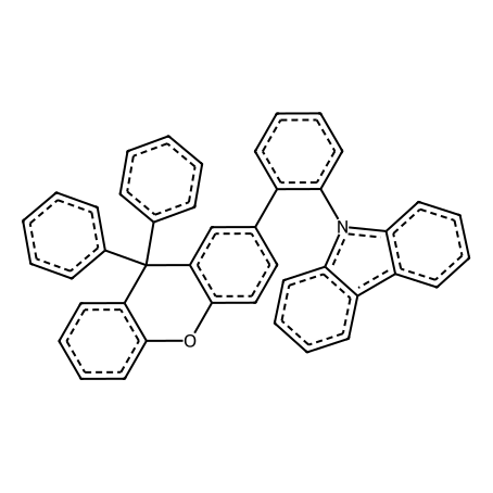 c1ccc(C2(c3ccccc3)c3ccccc3Oc3ccc(-c4ccccc4-n4c5ccccc5c5ccccc54)cc32)cc1